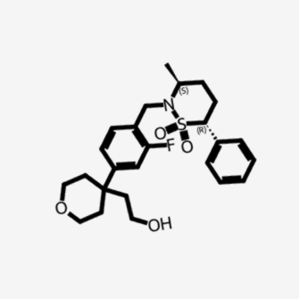 C[C@H]1CC[C@H](c2ccccc2)S(=O)(=O)N1Cc1ccc(C2(CCO)CCOCC2)cc1F